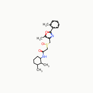 Cc1ccccc1-c1nc(C[S+]([O-])CC(=O)NC2CCCC(C)C2C)c(C)o1